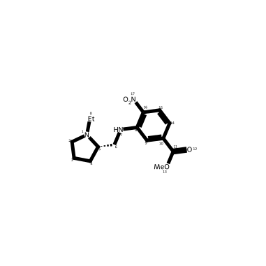 CCN1CCC[C@H]1CNc1cc(C(=O)OC)ccc1[N+](=O)[O-]